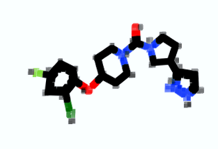 O=C(N1CCC(Oc2ccc(F)cc2Cl)CC1)N1CCC(c2ccn[nH]2)C1